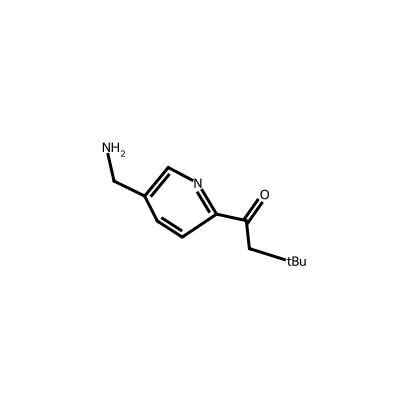 CC(C)(C)CC(=O)c1ccc(CN)cn1